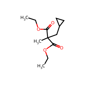 CCOC(=O)C(C)(CC1CC1)C(=O)OCC